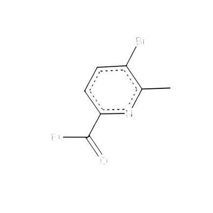 CCC(=O)c1ccc(Br)c(C)n1